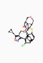 OC1(c2nc3ccccc3s2)C2COCC1CC(OCc1c(-c3c(Cl)cccc3Cl)noc1C1CC1)C2